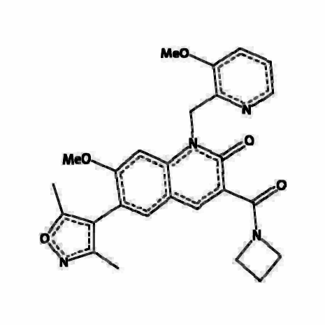 COc1cc2c(cc1-c1c(C)noc1C)cc(C(=O)N1CCC1)c(=O)n2Cc1ncccc1OC